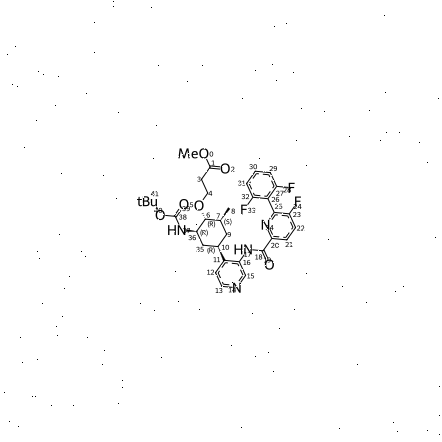 COC(=O)CCO[C@@H]1[C@@H](C)C[C@@H](c2ccncc2NC(=O)c2ccc(F)c(-c3c(F)cccc3F)n2)C[C@H]1NC(=O)OC(C)(C)C